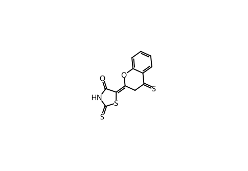 O=C1NC(=S)SC1=C1CC(=S)c2ccccc2O1